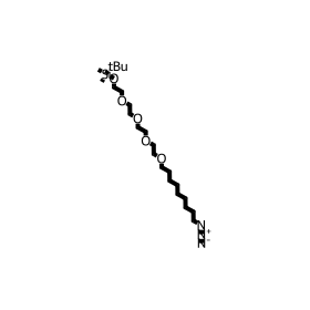 CC(C)(C)[Si](C)(C)OCCOCCOCCOCCOCCCCCCCCCN=[N+]=[N-]